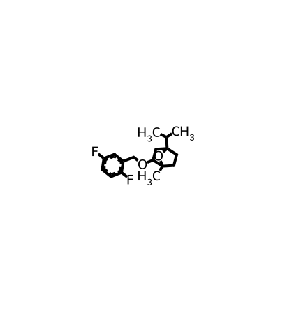 CC(C)C12CCC(C)(O1)C(OCc1cc(F)ccc1F)C2